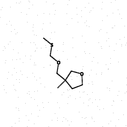 CSCOCC1(C)CCOC1